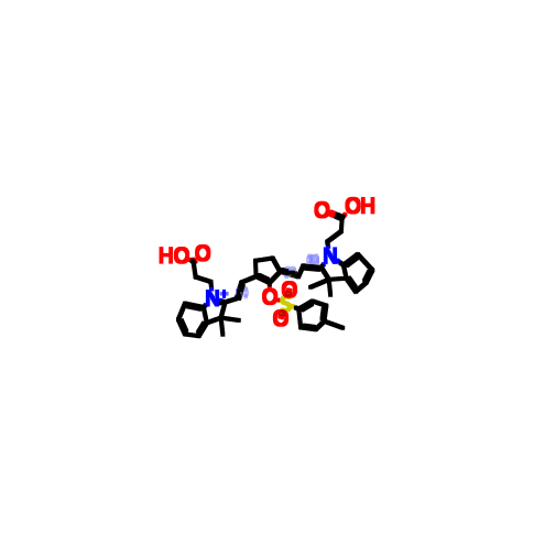 Cc1ccc(S(=O)(=O)OC2=C(/C=C/C3=[N+](CCC(=O)O)c4ccccc4C3(C)C)CC/C2=C\C=C2\N(CCC(=O)O)c3ccccc3C2(C)C)cc1